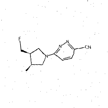 C[C@@H]1CN(c2ccc(C#N)nn2)C[C@@H]1CF